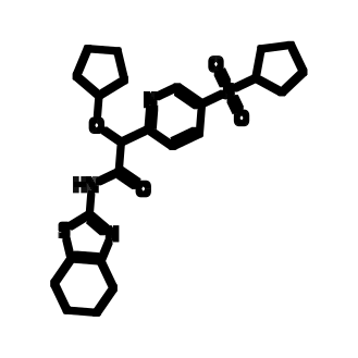 O=C(Nc1nc2c(s1)CCCC2)C(OC1CCCC1)c1ccc(S(=O)(=O)C2CCCC2)cn1